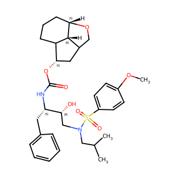 COc1ccc(S(=O)(=O)N(CC(C)C)C[C@@H](O)[C@H](Cc2ccccc2)NC(=O)O[C@H]2CC3CO[C@H]4CCCC2[C@@H]34)cc1